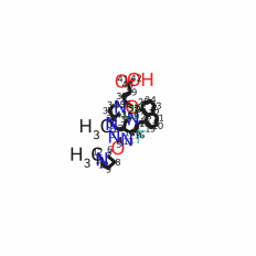 CN(c1nc(OC[C@@H]2CCCN2C)nc2c(F)c(-c3cccc4cccc(Cl)c34)ncc12)C1CCN(C(=O)/C=C/C(=O)O)C1